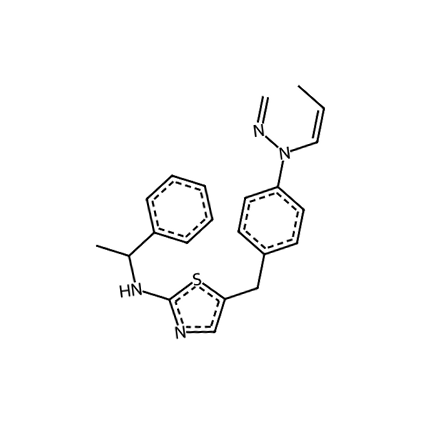 C=NN(/C=C\C)c1ccc(Cc2cnc(NC(C)c3ccccc3)s2)cc1